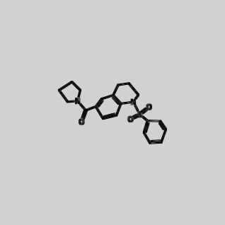 O=C(c1ccc2c(c1)CCCN2S(=O)(=O)c1ccccc1)N1CCCC1